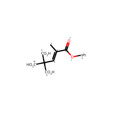 CCCOC(=O)C(C)=CC(C(=O)O)(C(=O)O)C(=O)O